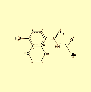 Bc1ccc([C@@H](C)N[S+]([O-])C(C)(C)C)c2c1OCCO2